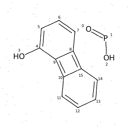 O=PO.Oc1cccc2c1=c1ccccc1=2